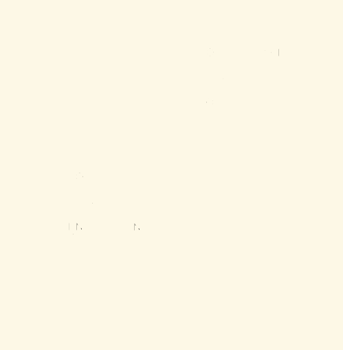 NC(=O)C(C1CCc2c(cccc2OC(=O)CO)C1)N(c1ccccc1)c1ccccc1